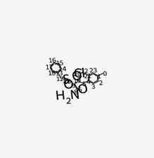 Cc1ccc(C2OC(N)=C(OSCc3ccccc3)C2=O)c(Cl)c1